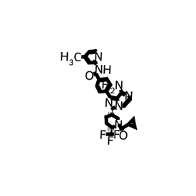 Cc1ccnc(NC(=O)c2ccc(-c3nc([C@H]4CC[C@H](C(F)(F)F)N(C(=O)C5CC5)C4)n4ccnc(N)c34)cc2)c1